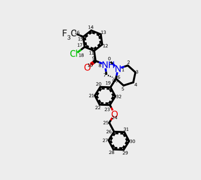 CN1CCCC[C@@]1(CNC(=O)c1cccc(C(F)(F)F)c1Cl)c1cccc(OCc2ccccc2)c1